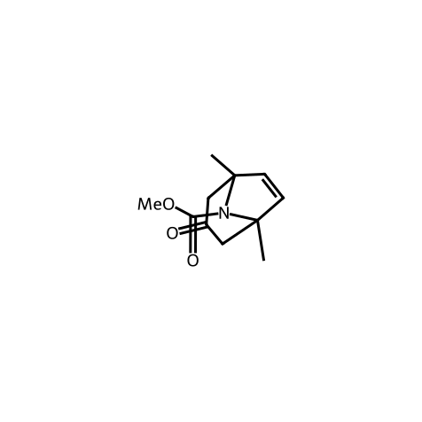 COC(=O)N1C2(C)C=CC1(C)CC(=O)C2